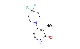 O=c1[nH]ccc(N2CCC(F)(F)CC2)c1[N+](=O)[O-]